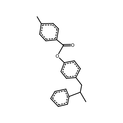 Cc1ccc(C(=O)Oc2ccc(CC(C)c3ccccc3)cc2)cc1